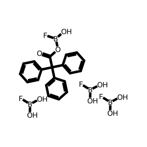 O=C(OB(O)F)C(c1ccccc1)(c1ccccc1)c1ccccc1.OB(O)F.OB(O)F.OB(O)F